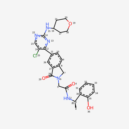 C[C@@H](NC(=O)CN1Cc2ccc(-c3nc(NC4CCOCC4)ncc3Cl)cc2C1=O)c1ccccc1O